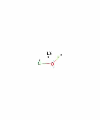 FOCl.[La]